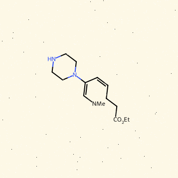 CCOC(=O)CC/C=C\C(=C/NC)N1CCNCC1